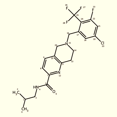 CC(C)CNC(=O)c1ccc2c(n1)CCN(Cc1cc(Cl)cc(F)c1C(F)(F)F)C2